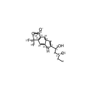 CC[S+]([O-])CC(O)c1cc2cc([N+](=O)[O-])c(C(F)(F)F)cc2[nH]1